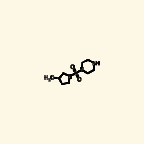 C[C@@H]1CCN(S(=O)(=O)N2CCNCC2)C1